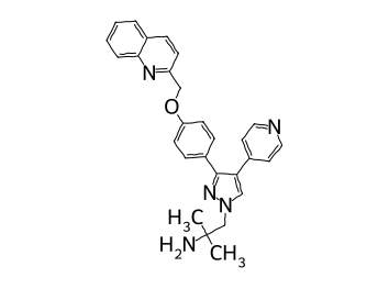 CC(C)(N)Cn1cc(-c2ccncc2)c(-c2ccc(OCc3ccc4ccccc4n3)cc2)n1